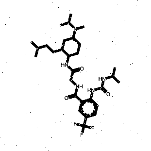 CC(C)CCC1CC(N(C)C(C)C)CCC1NC(=O)CNC(=O)c1cc(C(F)(F)F)ccc1NC(=O)NC(C)C